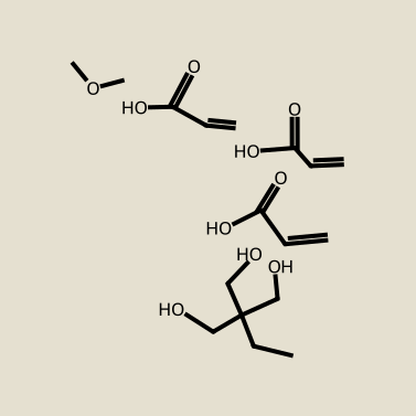 C=CC(=O)O.C=CC(=O)O.C=CC(=O)O.CCC(CO)(CO)CO.COC